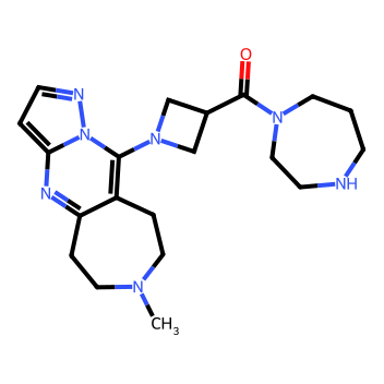 CN1CCc2nc3ccnn3c(N3CC(C(=O)N4CCCNCC4)C3)c2CC1